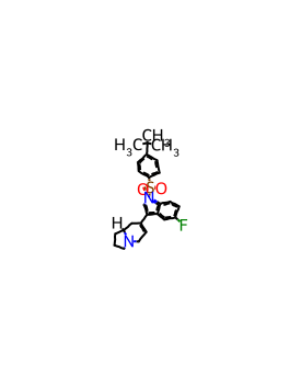 CC(C)(C)c1ccc(S(=O)(=O)n2cc(C3=CCN4CCC[C@@H]4C3)c3cc(F)ccc32)cc1